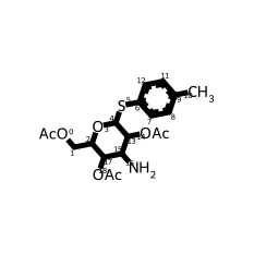 CC(=O)OCC1OC(Sc2ccc(C)cc2)C(OC(C)=O)C(N)C1OC(C)=O